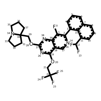 Fc1c(-c2cccc3cccc(C(F)F)c23)ncc2c(OCC(F)(F)F)nc(OCC34CCCN3CCC4)nc12